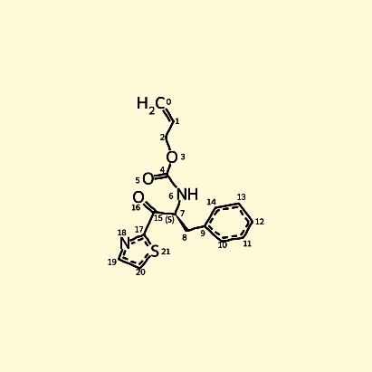 C=CCOC(=O)N[C@@H](Cc1ccccc1)C(=O)c1nccs1